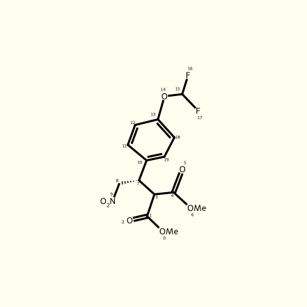 COC(=O)C(C(=O)OC)[C@H](C[N+](=O)[O-])c1ccc(OC(F)F)cc1